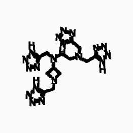 C(CN(Cc1nnn[nH]1)C1CN(Cc2nnn[nH]2)C1)N(Cc1nnn[nH]1)Cc1nnn[nH]1